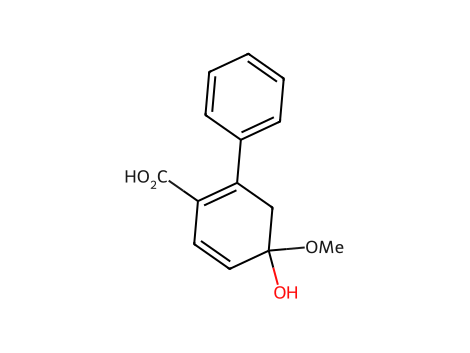 COC1(O)C=CC(C(=O)O)=C(c2ccccc2)C1